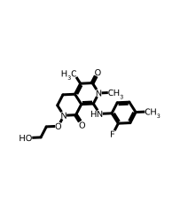 Cc1ccc(Nc2c3c(c(C)c(=O)n2C)CCN(OCCO)C3=O)c(F)c1